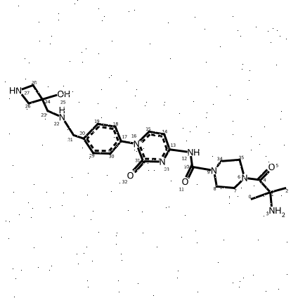 CC(C)(N)C(=O)N1CCN(C(=O)Nc2ccn(-c3ccc(CNCC4(O)CNC4)cc3)c(=O)n2)CC1